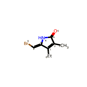 CCC1=C(C)C(=O)NC1=CBr